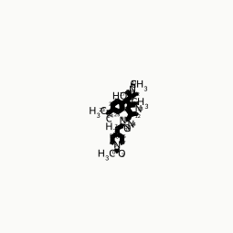 CC(=O)N1CCC(Cc2nc(-c3cncc([C@@](O)(c4ccc(C(C)C)cc4)C4(C)CN(C)C4)c3)no2)CC1